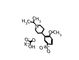 COc1ccc([N+](=O)[O-])cc1C1CCN(C(C)C)CC1.O=C([O-])O.[K+]